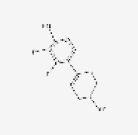 CCCC1CC=C(c2ccc(O)c(F)c2F)CC1